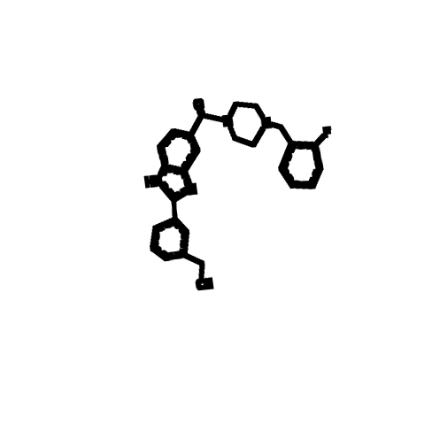 N#CCc1cccc(-c2nc3cc(C(=O)N4CCN(Cc5ccccc5F)CC4)ccc3[nH]2)c1